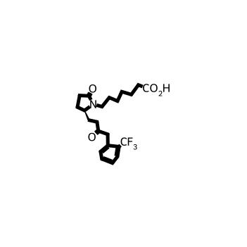 O=C(O)CCCCCCN1C(=O)CC[C@@H]1CCC(=O)Cc1ccccc1C(F)(F)F